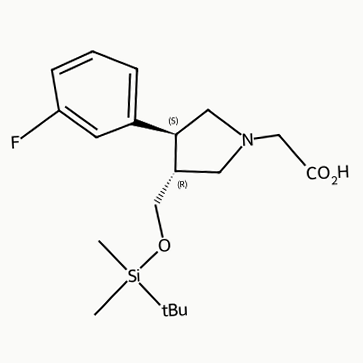 CC(C)(C)[Si](C)(C)OC[C@H]1CN(CC(=O)O)C[C@@H]1c1cccc(F)c1